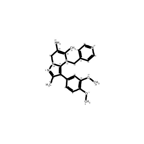 COc1ccc(-c2c(C)nn3c2N(Cc2ccncc2)C(C)=C(N)C3)cc1OC